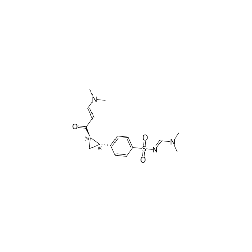 CN(C)C=CC(=O)[C@@H]1C[C@H]1c1ccc(S(=O)(=O)N=CN(C)C)cc1